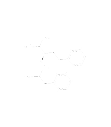 CC(=O)NC(Cc1ccccc1)C(=O)O.COC(OC)[C@H](N)CCc1ccccc1